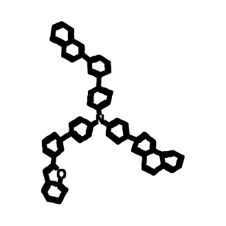 c1cc(-c2ccc(N(c3ccc(-c4cccc(-c5cc6ccccc6o5)c4)cc3)c3ccc(-c4ccc5c(ccc6ccccc65)c4)cc3)cc2)cc(-c2ccc3ccccc3c2)c1